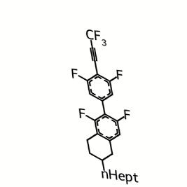 CCCCCCCC1CCc2c(cc(F)c(-c3cc(F)c(C#CC(F)(F)F)c(F)c3)c2F)C1